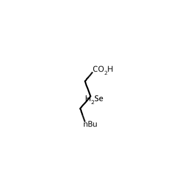 CCCCCCCC(=O)O.[SeH2]